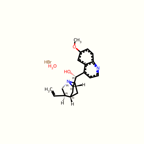 Br.C=C[C@H]1C[N@]2CC[C@H]1C[C@H]2[C@H](O)c1ccnc2ccc(OC)cc12.O